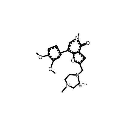 COc1ccc(-c2cn(C)c(=O)c3cc(CN4CCN(C)C[C@H]4C)oc23)cc1OC